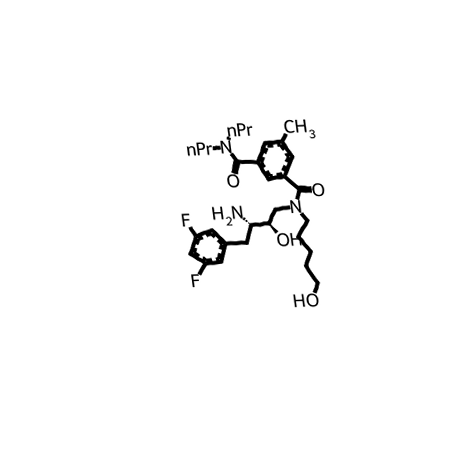 CCCN(CCC)C(=O)c1cc(C)cc(C(=O)N(CCCCCO)C[C@@H](O)[C@@H](N)Cc2cc(F)cc(F)c2)c1